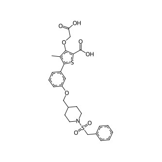 Cc1c(-c2cccc(OCC3CCN(S(=O)(=O)Cc4ccccc4)CC3)c2)sc(C(=O)O)c1OCC(=O)O